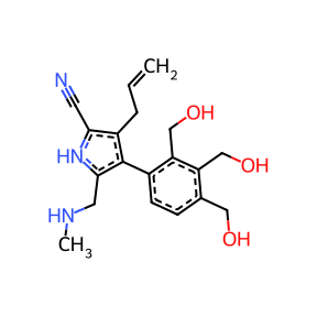 C=CCc1c(C#N)[nH]c(CNC)c1-c1ccc(CO)c(CO)c1CO